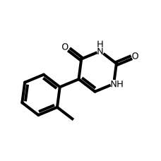 Cc1ccccc1-c1c[nH]c(=O)[nH]c1=O